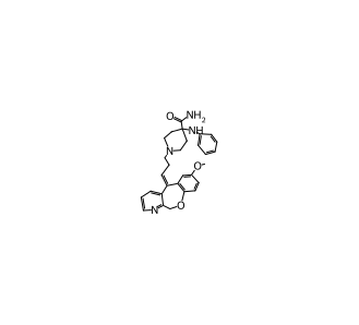 COc1ccc2c(c1)C(=CCCN1CCC(Nc3ccccc3)(C(N)=O)CC1)c1cccnc1CO2